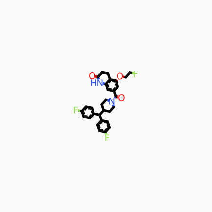 O=C1CCc2c(cc(C(=O)N3CCC(C(c4ccc(F)cc4)c4ccc(F)cc4)CC3)cc2OCCF)N1